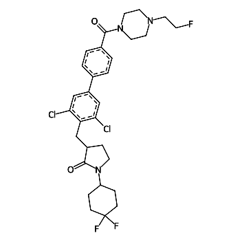 O=C(c1ccc(-c2cc(Cl)c(CC3CCN(C4CCC(F)(F)CC4)C3=O)c(Cl)c2)cc1)N1CCN(CCF)CC1